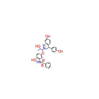 CC(O)C(NCC(c1ccc(O)cc1)c1ccc(O)cc1)Oc1ccc(O)c(NS(=O)(=O)c2ccccc2)c1